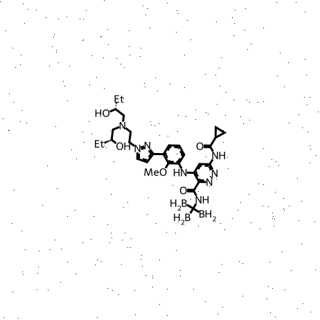 BC(B)(B)NC(=O)c1nnc(NC(=O)C2CC2)cc1Nc1cccc(-c2ccn(CCN(C[C@H](O)CC)C[C@@H](O)CC)n2)c1OC